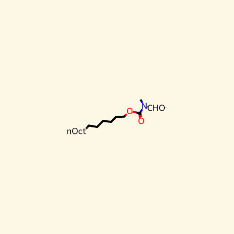 CCCCCCCCCCCCCCOC(=O)N(C)[C]=O